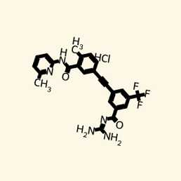 Cc1cccc(NC(=O)c2cc(C#Cc3cc(C(=O)N=C(N)N)cc(C(F)(F)F)c3)ccc2C)n1.Cl